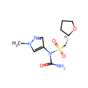 Cn1cc(N(C(N)=O)S(=O)(=O)C[C@@H]2CCCO2)cn1